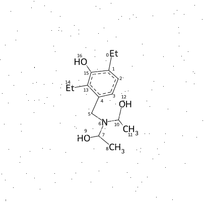 CCc1ccc(CN(C(C)O)C(C)O)c(CC)c1O